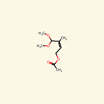 COC(OC)/C(C)=C\COC(C)=O